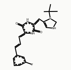 CC(C)(C)N1CNC=C1/C=c1/[nH]c(=O)/c(=C/C=C/c2cccc(F)c2)[nH]c1=O